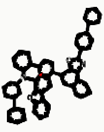 c1ccc(-c2ccc(-c3nc4c(o3)c(-c3ccc(-c5ccccc5N(c5cccc(-c6ccccc6)c5)c5cccc6c5oc5ccccc56)cc3)cc3ccccc34)cc2)cc1